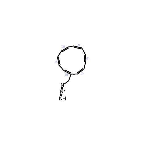 N=[N+]=NCC1=C/C=C\C=C/C=C\C=C/C=C\1